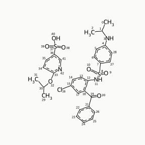 CC(C)Nc1ccc(S(=O)(=O)Nc2ccc(Cl)cc2C(=O)c2ccccc2)cc1.CC(C)Oc1ccc(S(=O)(=O)O)cn1